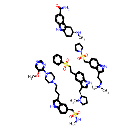 CN(C)CCc1c[nH]c2ccc(CS(=O)(=O)N3CCCC3)cc12.CN1CCC[C@@H]1Cc1c[nH]c2ccc(CCS(=O)(=O)c3ccccc3)cc12.CNS(=O)(=O)Cc1ccc2[nH]cc(CCCN3CCN(c4ncncc4OC)CC3)c2c1.CN[C@@H]1CCc2[nH]c3ccc(C(N)=O)cc3c2C1